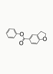 O=C(Oc1ccccc1)c1ccc2c(c1)CCO2